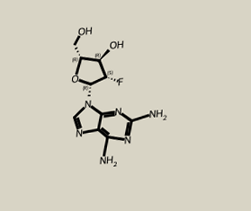 Nc1nc(N)c2ncn([C@@H]3O[C@H](CO)[C@@H](O)[C@@H]3F)c2n1